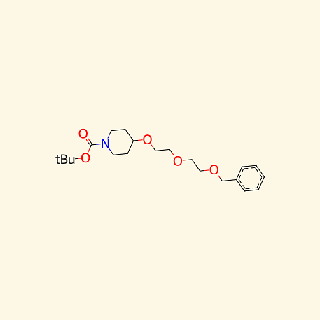 CC(C)(C)OC(=O)N1CCC(OCCOCCOCc2ccccc2)CC1